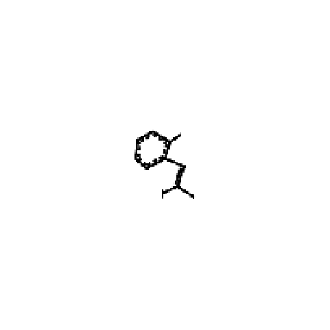 CC(I)=Cc1ccccc1C